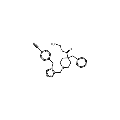 CCOC(=O)C1(Cc2ccccc2)CCN(Cc2cncn2Cc2ccc(C#N)cc2)CC1